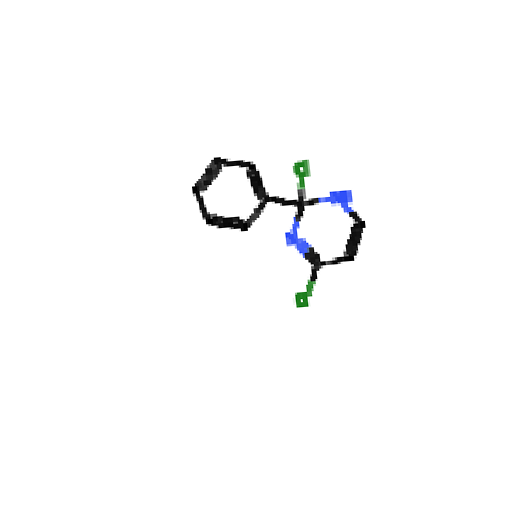 ClC1=NC(Cl)(c2ccccc2)NC=C1